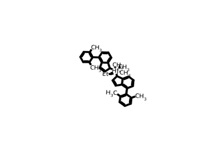 CC[CH]=[Hf]([CH3])([CH3])([CH3])([CH]1C=Cc2c(-c3c(C)cccc3C)cccc21)[CH]1C=Cc2c(-c3c(C)cccc3C)cccc21